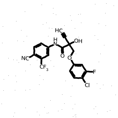 C#CC(O)(COc1ccc(Cl)c(F)c1)C(=O)Nc1ccc(C#N)c(C(F)(F)F)c1